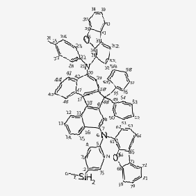 C[SiH2]c1ccc(N(c2cc3c(c4ccccc24)-c2c(cc(N(c4ccc(C)cc4)c4cccc5c4oc4ccccc45)c4ccccc24)C3(c2ccccc2)c2ccccc2)c2cccc3c2oc2ccccc23)cc1